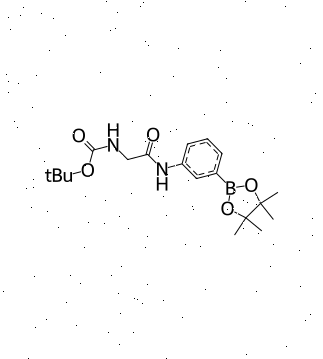 CC(C)(C)OC(=O)NCC(=O)Nc1cccc(B2OC(C)(C)C(C)(C)O2)c1